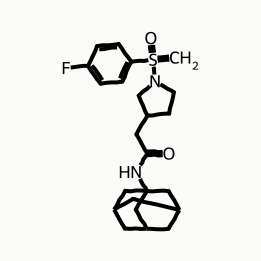 C=S(=O)(c1ccc(F)cc1)N1CCC(CC(=O)NC23CC4CC(CC(C4)C2)C3)C1